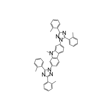 Cc1ccccc1-c1nc(-c2ccccc2C)n(-c2ccc3c4ccc(-n5nc(-c6ccccc6C)nc5-c5ccccc5C)cc4n(C)c3c2)n1